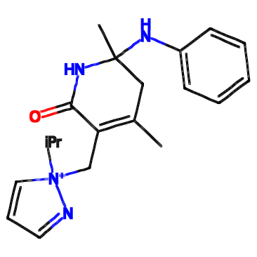 CC1=C(C[N+]2(C(C)C)C=CC=N2)C(=O)NC(C)(Nc2ccccc2)C1